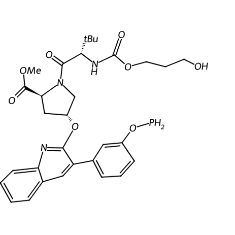 COC(=O)[C@@H]1C[C@@H](Oc2nc3ccccc3cc2-c2cccc(OP)c2)CN1C(=O)[C@@H](NC(=O)OCCCO)C(C)(C)C